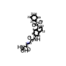 O=C(/C=C/C(=O)Nc1ccc2c(ccn2S(=O)(=O)c2ccccc2)c1)NO